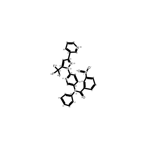 O=C(c1cccc([N+](=O)[O-])c1)N(c1ccccc1)c1ccc(-n2nc(-c3cccnc3)cc2C(F)(F)F)nc1